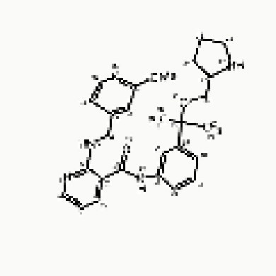 COc1cc(CNc2ncccc2C(=O)Nc2cccc(C(OCC3CCCN3)(C(F)(F)F)C(F)(F)F)c2)ccn1